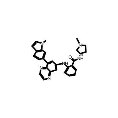 CN1CC[C@H](NC(=O)c2ccccc2Nc2cc(-c3ccc4ccn(C)c4c3)c3nccnc3c2)C1